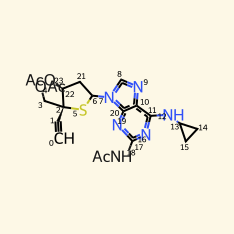 C#C[C@]1(COC(C)=O)SC(n2cnc3c(NC4CC4)nc(NC(C)=O)nc32)C[C@@H]1OC(C)=O